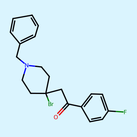 O=C(CC1(Br)CCN(Cc2ccccc2)CC1)c1ccc(F)cc1